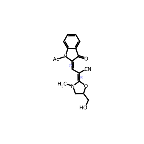 CC(=O)N1/C(=C/C(C#N)=C2/OC(CO)CN2C)C(=O)c2ccccc21